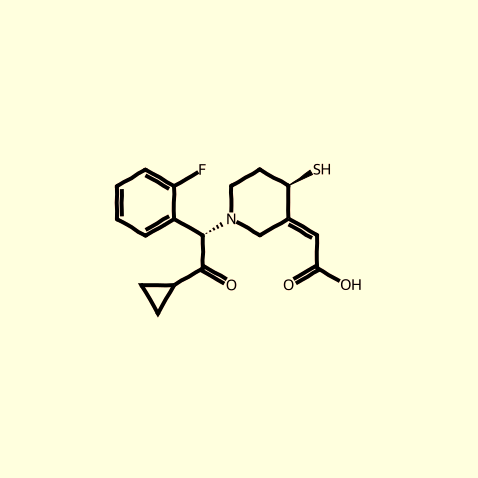 O=C(O)/C=C1\CN([C@H](C(=O)C2CC2)c2ccccc2F)CC[C@H]1S